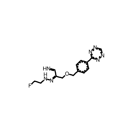 N=C/C(COCc1ccc(-c2nncnn2)cc1)=N\NCCF